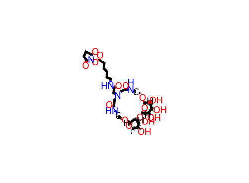 C[C@@H]1O[C@@H]2OCCNC(=O)CN(CC(=O)NCCCCCC(=O)ON3C(=O)CCC3=O)CC(=O)NCCO[C@H]3O[C@@H](O[C@H]2[C@H](O)[C@@H]1O)[C@@H](O)[C@@H](O)[C@@H]3O